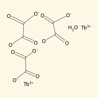 O.O=C([O-])C(=O)[O-].O=C([O-])C(=O)[O-].O=C([O-])C(=O)[O-].[Tb+3].[Tb+3]